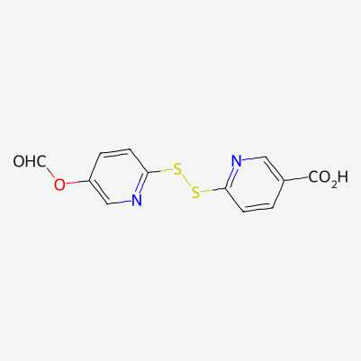 O=COc1ccc(SSc2ccc(C(=O)O)cn2)nc1